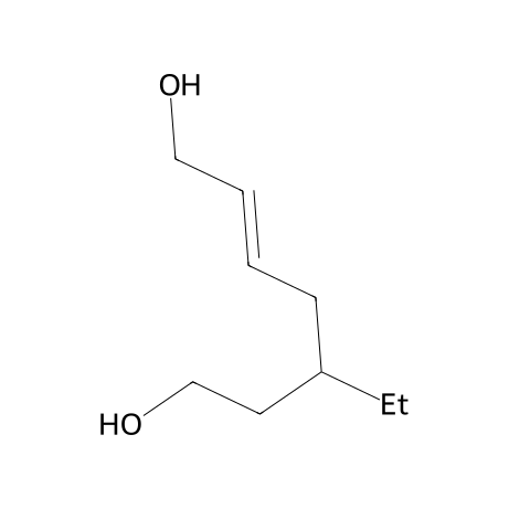 CCC(CC=CCO)CCO